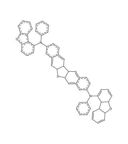 C1=CC2OC3C=CC=C(N(c4ccccc4)c4ccc5c(c4)=CC4OC6C=c7cc(N(c8ccccc8)c8cccc9oc%10ccccc%10c89)ccc7=CC6C4C=5)C3C2C=C1